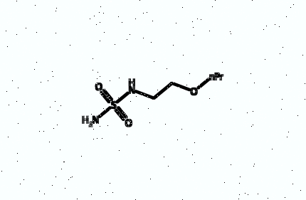 CCCOCCNS(N)(=O)=O